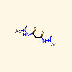 CC(=O)N(C)NC(=S)CC(=S)NN(C)C(C)=O